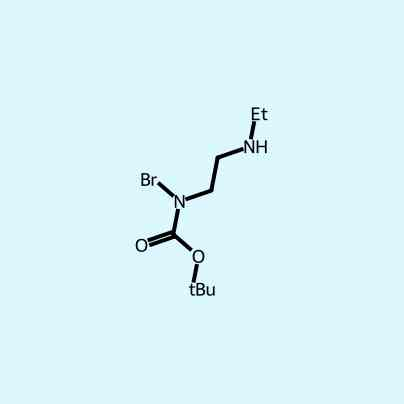 CCNCCN(Br)C(=O)OC(C)(C)C